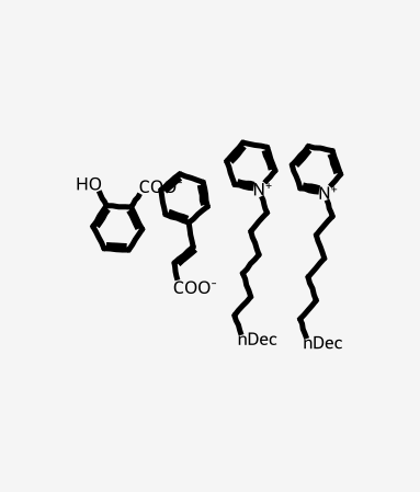 CCCCCCCCCCCCCCCC[n+]1ccccc1.CCCCCCCCCCCCCCCC[n+]1ccccc1.O=C([O-])C=Cc1ccccc1.O=C([O-])c1ccccc1O